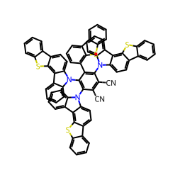 N#Cc1c(C#N)c(-n2c3ccccc3c3c4sc5ccccc5c4ccc32)c(-n2c3ccccc3c3c4sc5ccccc5c4ccc32)c(-c2cccc3c2sc2ccccc23)c1-n1c2ccccc2c2c3sc4ccccc4c3ccc21